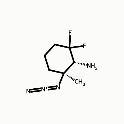 C[C@]1(N=[N+]=[N-])CCCC(F)(F)[C@@H]1N